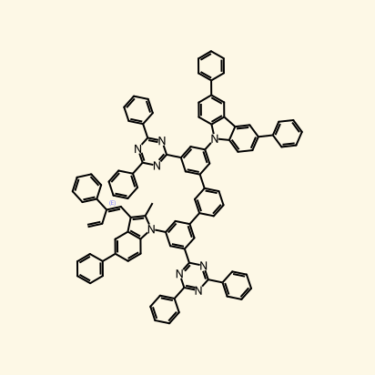 C=C/C(=C\c1c(C)n(-c2cc(-c3cccc(-c4cc(-c5nc(-c6ccccc6)nc(-c6ccccc6)n5)cc(-n5c6ccc(-c7ccccc7)cc6c6cc(-c7ccccc7)ccc65)c4)c3)cc(-c3nc(-c4ccccc4)nc(-c4ccccc4)n3)c2)c2ccc(-c3ccccc3)cc12)c1ccccc1